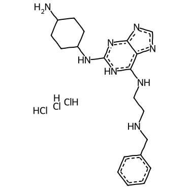 Cl.Cl.Cl.NC1CCC(Nc2nc3ncnc-3c(NCCNCc3ccccc3)[nH]2)CC1